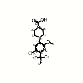 COc1nc(C(F)(F)F)c(Cl)cc1N1CCN(C(=O)O)CC1